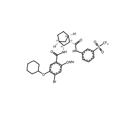 COc1cc(Br)c(OC2CCCCC2)cc1C(=O)N[C@@H]1[C@H]2CC[C@H](C2)[C@@H]1C(=O)Nc1cccc(S(=O)(=O)C(F)(F)F)c1